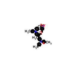 Cc1ccc(N(c2ccc(C)cc2)c2ccc(C(C)(CCCOCc3ccc([N+](=O)[O-])cc3)c3ccc(N(c4ccc(C)cc4)c4ccc(C)cc4)cc3)cc2)cc1